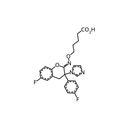 O=C(O)CCCCON=C1Oc2ccc(F)cc2CC1(c1ccc(F)cc1)n1ccnc1